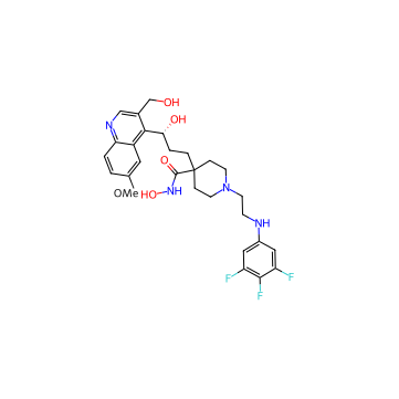 COc1ccc2ncc(CO)c([C@H](O)CCC3(C(=O)NO)CCN(CCNc4cc(F)c(F)c(F)c4)CC3)c2c1